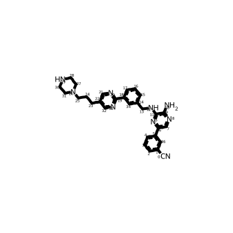 N#Cc1cccc(-c2cnc(N)c(NCc3cccc(-c4ncc(CCCN5CCNCC5)cn4)c3)n2)c1